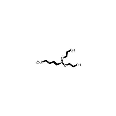 CCCCCCCCCCC=CN(OCCO)OCCO